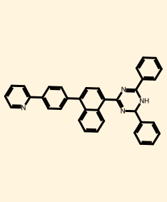 c1ccc(C2=NC(c3ccc(-c4ccc(-c5ccccn5)cc4)c4ccccc34)=NC(c3ccccc3)N2)cc1